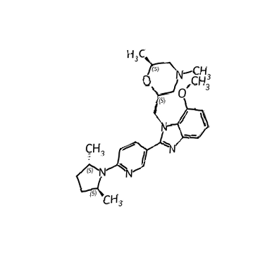 COc1cccc2nc(-c3ccc(N4[C@@H](C)CC[C@@H]4C)nc3)n(C[C@@H]3CN(C)C[C@H](C)O3)c12